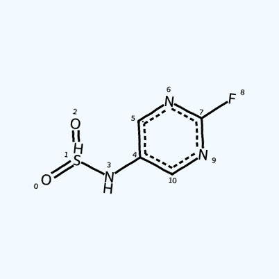 O=[SH](=O)Nc1[c]nc(F)nc1